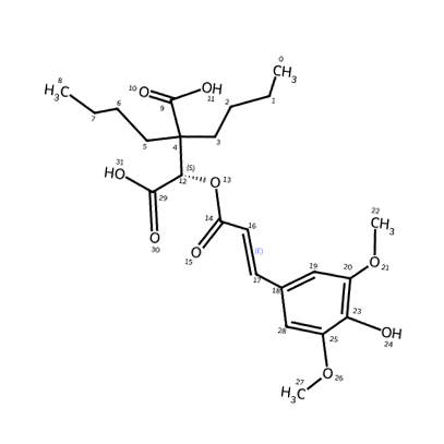 CCCCC(CCCC)(C(=O)O)[C@H](OC(=O)/C=C/c1cc(OC)c(O)c(OC)c1)C(=O)O